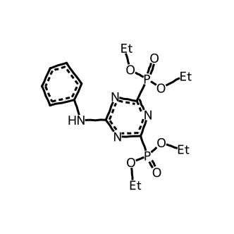 CCOP(=O)(OCC)c1nc(Nc2ccccc2)nc(P(=O)(OCC)OCC)n1